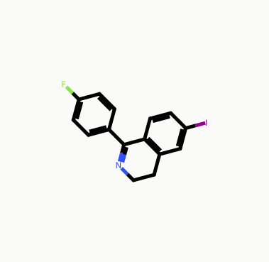 Fc1ccc(C2=NCCc3cc(I)ccc32)cc1